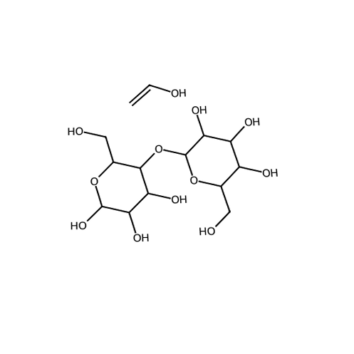 C=CO.OCC1OC(OC2C(CO)OC(O)C(O)C2O)C(O)C(O)C1O